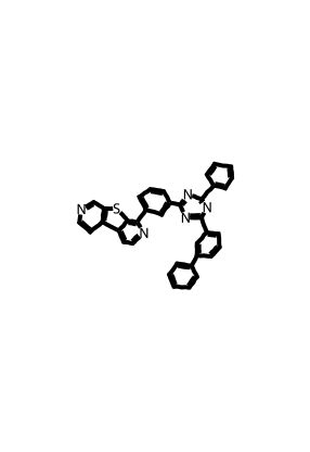 c1ccc(-c2cccc(-c3nc(-c4ccccc4)nc(-c4cccc(-c5nccc6c5sc5cnccc56)c4)n3)c2)cc1